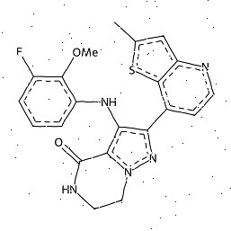 COc1c(F)cccc1Nc1c(-c2ccnc3cc(C)sc23)nn2c1C(=O)NCC2